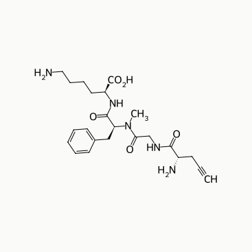 C#CC[C@H](N)C(=O)NCC(=O)N(C)[C@@H](Cc1ccccc1)C(=O)N[C@@H](CCCCN)C(=O)O